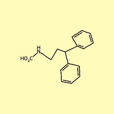 O=C(O)NCCC(c1ccccc1)c1ccccc1